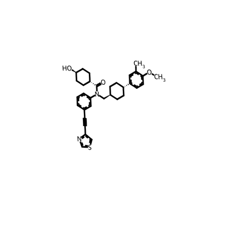 COc1ccc([C@H]2CC[C@H](CN(c3cccc(C#Cc4cscn4)c3)C(=O)[C@H]3CC[C@H](O)CC3)CC2)cc1C